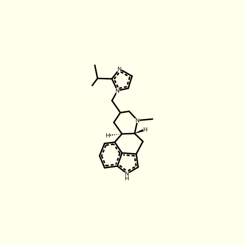 CC(C)c1nccn1CC1C[C@@H]2c3cccc4[nH]cc(c34)C[C@H]2N(C)C1